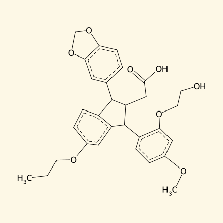 CCCOc1ccc2c(c1)C(c1ccc(OC)cc1OCCO)C(CC(=O)O)C2c1ccc2c(c1)OCO2